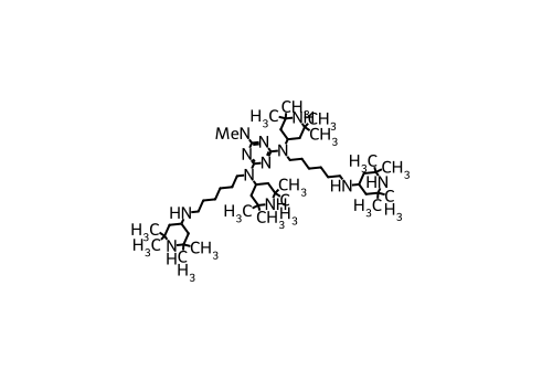 CNc1nc(N(CCCCCCNC2CC(C)(C)NC(C)(C)C2)C2CC(C)(C)NC(C)(C)C2)nc(N(CCCCCCNC2CC(C)(C)NC(C)(C)C2)C2CC(C)(C)NC(C)(C)C2)n1